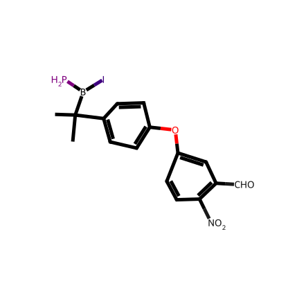 CC(C)(B(P)I)c1ccc(Oc2ccc([N+](=O)[O-])c(C=O)c2)cc1